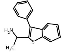 CC(N)c1sc2ccccc2c1-c1ccccc1